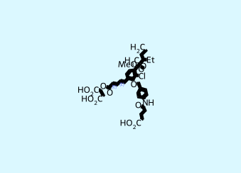 C=CCC(CC)C1(C)OOC1(OC)c1ccc(/C=C/C=C/C(=O)OC(CC(=O)O)C(=O)O)c(OCc2ccc(NC(=O)CCCC(=O)O)cc2)c1Cl